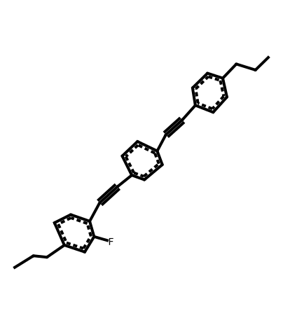 CCCc1ccc(C#Cc2ccc(C#Cc3ccc(CCC)cc3F)cc2)cc1